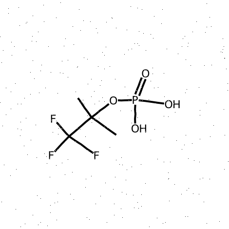 CC(C)(OP(=O)(O)O)C(F)(F)F